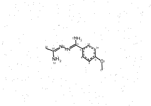 COc1ccc(/C(N)=N/N=C(/C)N)cc1